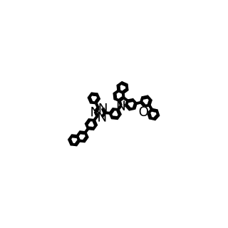 c1ccc(-c2nc(-c3ccc(-c4ccc5ccccc5c4)cc3)nc(-c3cccc(-n4c5ccc(-c6cccc7c6oc6ccccc67)cc5c5c6ccccc6ccc54)c3)n2)cc1